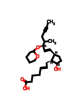 CC#CCC(C)[C@@H](C=C[C@H]1CC[C@H](O)[C@@H]1CC=CCCCC(=O)O)OC1CCCCO1